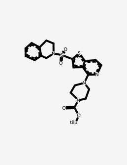 CC(C)(C)OC(=O)N1CCN(c2nccc3sc(S(=O)(=O)N4CCc5ccccc5C4)cc23)CC1